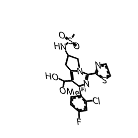 COC(O)C1=C2CC(NS(C)(=O)=O)CN2C(c2nccs2)=N[C@H]1c1ccc(F)cc1Cl